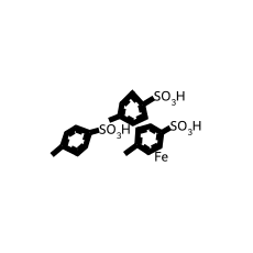 Cc1ccc(S(=O)(=O)O)cc1.Cc1ccc(S(=O)(=O)O)cc1.Cc1ccc(S(=O)(=O)O)cc1.[Fe]